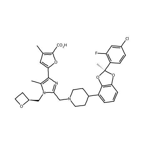 Cc1cc(-c2nc(CN3CCC(c4cccc5c4O[C@@](C)(c4ccc(Cl)cc4F)O5)CC3)n(C[C@@H]3CCO3)c2C)oc1C(=O)O